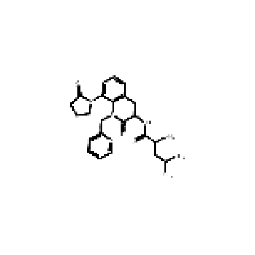 CC(C)CC(N)C(=O)NC1Cc2cccc(N3CCCC3=O)c2N(Cc2ccccn2)C1=O